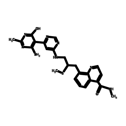 Bc1nc(C)nc(O)c1-c1cc(NCC(Cc2cccc3c(C(=O)NC)ccnc23)SC)ncn1